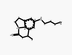 CC1CC(=O)N2CCc3cc(OCCCBr)cc1c32